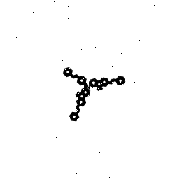 CC1(C)C2=C(CCC(N(c3ccc(/C=C/c4ccccc4)cc3)c3ccc4c(c3)C(C)(C)c3cc(/C=C/c5ccccc5)ccc3-4)=C2)c2ccc(/C=C/c3ccccc3)cc21